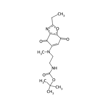 CCc1nc2c(o1)C(=O)C=C(N(C)CCNC(=O)OC(C)(C)C)C2=O